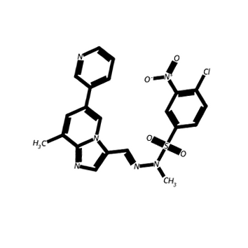 Cc1cc(-c2cccnc2)cn2c(C=NN(C)S(=O)(=O)c3ccc(Cl)c([N+](=O)[O-])c3)cnc12